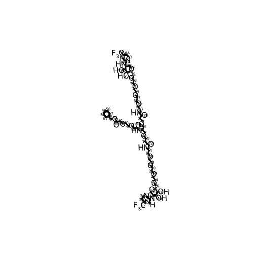 O=C(CCOCC(COCCC(=O)NCCOCCOCCOCCOC[C@H]1OC[C@H](Nc2nccc(C(F)(F)F)n2)[C@@H](O)[C@H]1O)NC(=O)COCCOCC(=O)OCc1ccccc1)NCCOCCOCCOCCOC[C@H]1OC[C@H](Nc2nccc(C(F)(F)F)n2)[C@@H](O)[C@H]1O